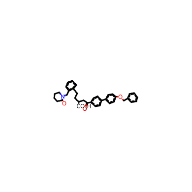 O=C(CC(CCc1ccccc1CN1CCCCC1=O)C(=O)O)c1ccc(-c2ccc(OCc3ccccc3)cc2)cc1